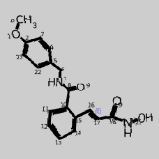 COc1ccc(CNC(=O)c2ccccc2/C=C/C(=O)NO)cc1